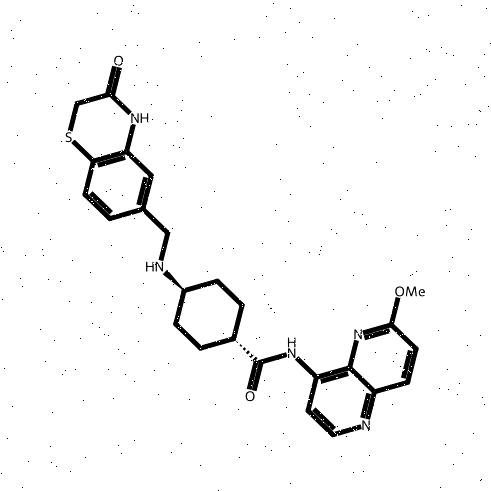 COc1ccc2nccc(NC(=O)[C@H]3CC[C@H](NCc4ccc5c(c4)NC(=O)CS5)CC3)c2n1